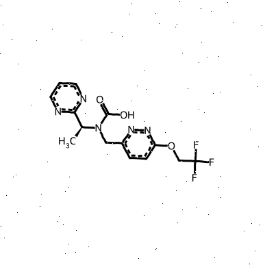 C[C@@H](c1ncccn1)N(Cc1ccc(OCC(F)(F)F)nn1)C(=O)O